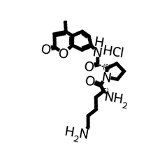 Cc1cc(=O)oc2cc(NC(=O)[C@@H]3CCCN3C(=O)[C@@H](N)CCCCN)ccc12.Cl